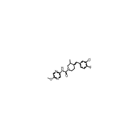 COc1cnc(NC(=O)N2CC/C(=C\c3ccc(F)c(Cl)c3)C(C)C2)cn1